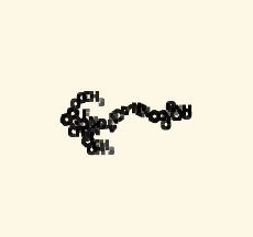 CCc1cccc2cc(OCOC)cc(-c3ncc4c(N5CCC[C@@](C)(O)C5)nc(OCC5(CN6CCC7(CC6)CC(CN6CCN(c8ccc9c(c8)CN([C@H]8CCC(=O)NC8=O)C9=O)CC6)C7)CC5)nc4c3F)c12